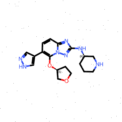 c1n[nH]cc1-c1ccc2nc(N[C@@H]3CCCNC3)nn2c1O[C@H]1CCOC1